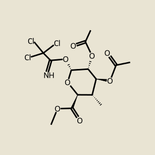 COC(=O)[C@H]1O[C@H](OC(=N)C(Cl)(Cl)Cl)[C@H](OC(C)=O)[C@@H](OC(C)=O)[C@@H]1C